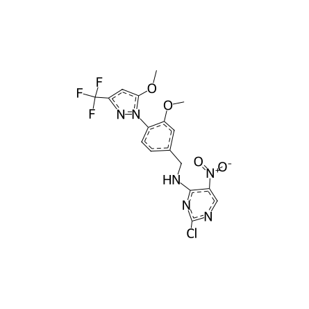 COc1cc(CNc2nc(Cl)ncc2[N+](=O)[O-])ccc1-n1nc(C(F)(F)F)cc1OC